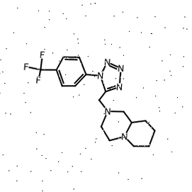 FC(F)(F)c1ccc(-n2nnnc2CN2CCN3CCCCC3C2)cc1